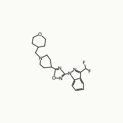 FC(F)c1nn(-c2noc(C3CCN(CC4CCOCC4)CC3)n2)c2ccccc12